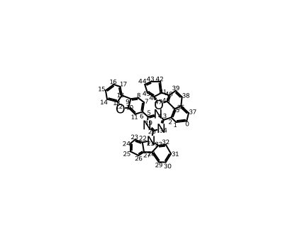 c1cc(-c2nc(-c3ccc4c(c3)oc3ccccc34)nc(-n3c4ccccc4c4ccccc43)n2)c2c(c1)ccc1c3ccccc3oc12